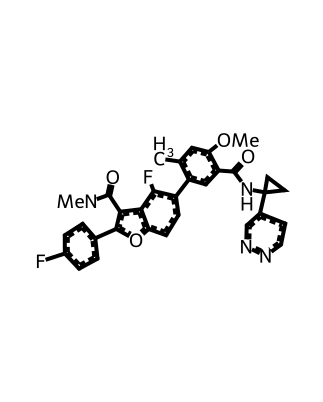 CNC(=O)c1c(-c2ccc(F)cc2)oc2ccc(-c3cc(C(=O)NC4(c5ccnnc5)CC4)c(OC)cc3C)c(F)c12